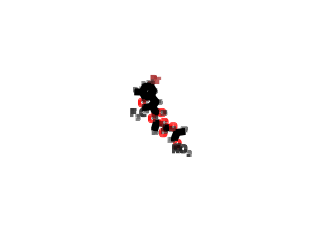 Cc1cc(Br)cc2c1O[C@H](C(F)(F)F)C(C(=O)OC(C)OC(=O)OC(C)CO[N+](=O)[O-])=C2